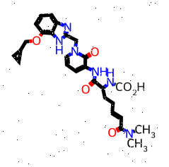 CN(C)C(=O)/C=C/CCC(NC(=O)O)C(=O)Nc1cccn(Cc2nc3cccc(OCC4CC4)c3[nH]2)c1=O